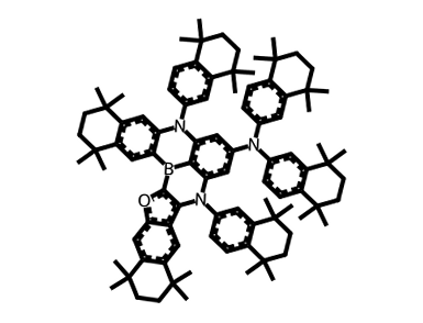 CC1(C)CCC(C)(C)c2cc(N(c3cc4c5c(c3)N(c3ccc6c(c3)C(C)(C)CCC6(C)C)c3c(oc6cc7c(cc36)C(C)(C)CCC7(C)C)B5c3cc5c(cc3N4c3ccc4c(c3)C(C)(C)CCC4(C)C)C(C)(C)CCC5(C)C)c3ccc4c(c3)C(C)(C)CCC4(C)C)ccc21